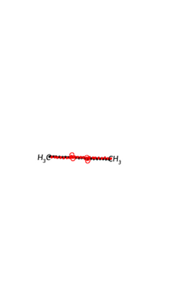 CCCCCCCCCCCCCCCC(=O)OCCCCCCCCOC(=O)CCCCCCCCCCCCCCC